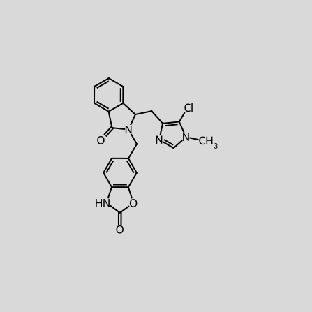 Cn1cnc(CC2c3ccccc3C(=O)N2Cc2ccc3[nH]c(=O)oc3c2)c1Cl